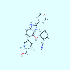 C/C(=C/C(=C\N(C)C)c1ccc2[nH]c(C3CCOCC3)nc2c1Oc1ccccc1C#N)CC=O